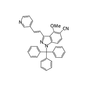 COc1c(C#N)ccc2c1c(C=Cc1cccnc1)nn2C(c1ccccc1)(c1ccccc1)c1ccccc1